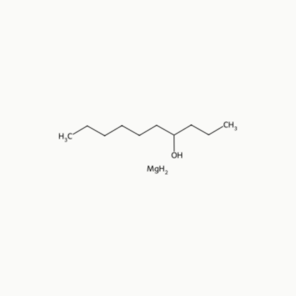 CCCCCCC(O)CCC.[MgH2]